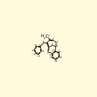 CC1=CCC2CC(=C1Cc1ccccc1)Sc1ccccc12